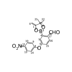 C=C1OB(c2cc(Oc3ccc([N+](=O)[O-])cc3)ccc2C=O)OC1(C)C